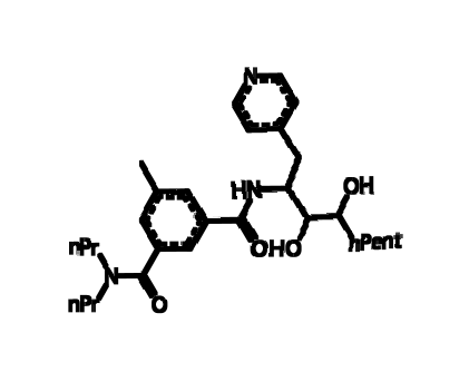 CCCCCC(O)C(O)C(Cc1ccncc1)NC(=O)c1cc(C)cc(C(=O)N(CCC)CCC)c1